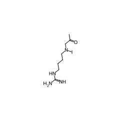 CC(=O)CN(I)CCCCNC(=N)N